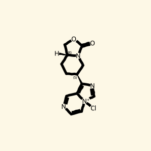 O=C1OC[C@H]2CC[C@H](C3=C4C=NC=C[N+]4(Cl)C=N3)CN12